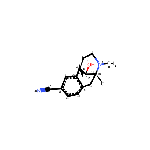 CN1CC[C@]23CCCC[C@@]2(O)[C@H]1Cc1ccc(C#N)cc13